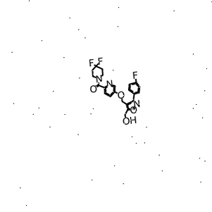 O=C(c1ccc(OCc2c(-c3ccc(F)cc3)noc2CO)cn1)N1CCC(F)(F)CC1